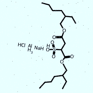 CCCCC(CC)COC(=O)CC(C(=O)OCC(CC)CCCC)S(=O)(=O)O.Cl.[AlH3].[NaH]